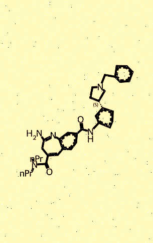 CCCN(CCC)C(=O)C1=Cc2ccc(C(=O)Nc3cccc([C@@H]4CCN(Cc5ccccc5)C4)c3)cc2N=C(N)C1